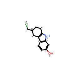 Oc1ccc2c3c([nH]c2c1)CCC(CCl)C3